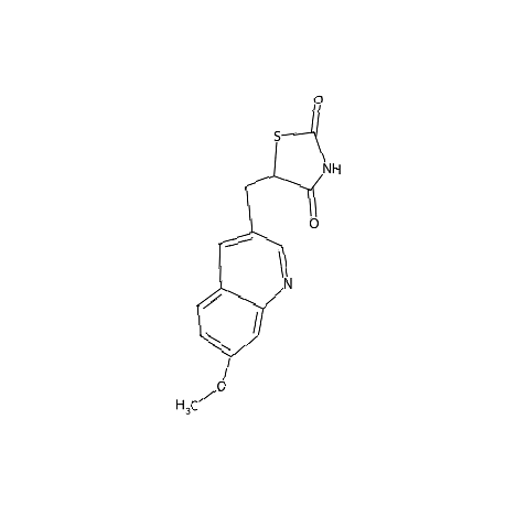 COc1ccc2cc(CC3SC(=O)NC3=O)cnc2c1